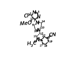 COc1c(Cl)ncnc1N1CCN(CCN(C)c2cccc(C#N)c2)CC1